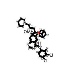 COc1cc2ncnc(Nc3ccc(Cl)c(Cl)c3F)c2cc1OC1C2CC1CN(C(=O)/C=C/CN1CCCCC1)C2